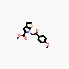 COC(=O)c1cc2ccsc2n1CC(=O)c1ccc(OC)cc1